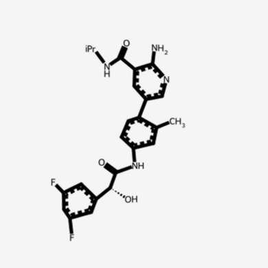 Cc1cc(NC(=O)[C@H](O)c2cc(F)cc(F)c2)ccc1-c1cnc(N)c(C(=O)NC(C)C)c1